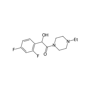 CCN1CCN(C(=O)C(O)c2ccc(F)cc2F)CC1